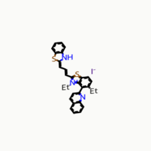 CCc1ccc2sc(C=CC=C3Nc4ccccc4S3)[n+](CC)c2c1-c1ccc2ccccc2n1.[I-]